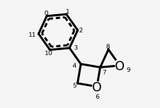 c1ccc(C2COC23CO3)cc1